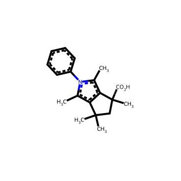 Cc1c2c(c(C)n1-c1ccccc1)C(C)(C(=O)O)CC2(C)C